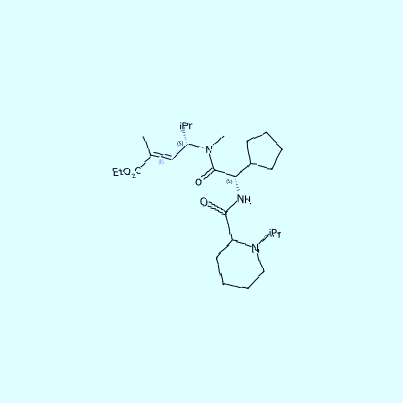 CCOC(=O)/C(C)=C/[C@H](C(C)C)N(C)C(=O)[C@@H](NC(=O)C1CCCCN1C(C)C)C1CCCC1